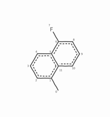 Cc1cccc2c(F)cccc12